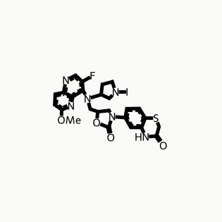 COc1ccc2ncc(F)c(N(CC3CN(c4ccc5c(c4)NC(=O)CS5)C(=O)O3)C3CCN(I)C3)c2n1